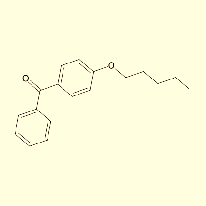 O=C(c1ccccc1)c1ccc(OCCCCI)cc1